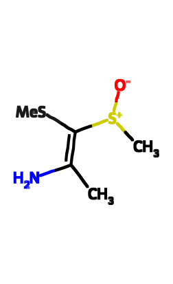 CSC(=C(C)N)[S+](C)[O-]